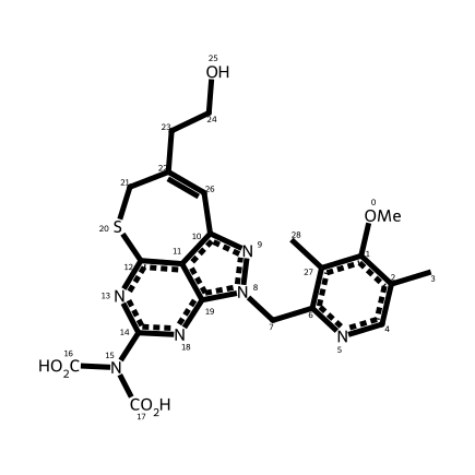 COc1c(C)cnc(Cn2nc3c4c(nc(N(C(=O)O)C(=O)O)nc42)SCC(CCO)=C3)c1C